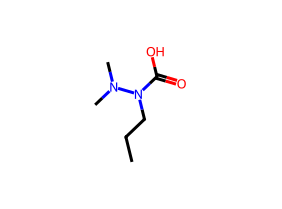 CCCN(C(=O)O)N(C)C